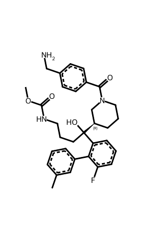 COC(=O)NCCCC(O)(c1cccc(F)c1-c1cccc(C)c1)[C@@H]1CCCN(C(=O)c2ccc(CN)cc2)C1